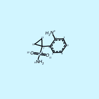 Nc1ccccc1C1(S(N)(=O)=O)CC1